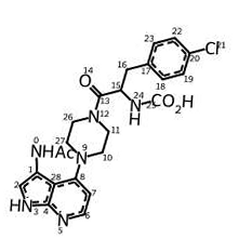 CC(=O)Nc1c[nH]c2nccc(N3CCN(C(=O)C(Cc4ccc(Cl)cc4)NC(=O)O)CC3)c12